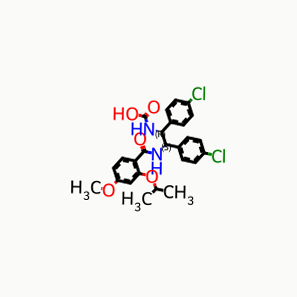 COc1ccc(C(=O)N[C@@H](c2ccc(Cl)cc2)[C@H](NC(=O)O)c2ccc(Cl)cc2)c(OC(C)C)c1